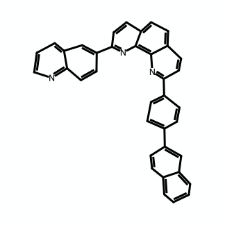 c1ccc2cc(-c3ccc(-c4ccc5ccc6ccc(-c7ccc8ncccc8c7)nc6c5n4)cc3)ccc2c1